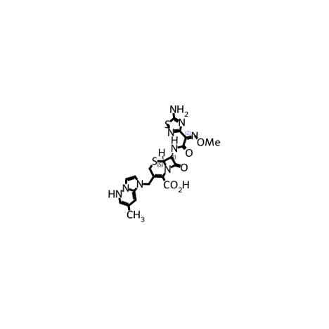 CO/N=C(\C(=O)N[C@@H]1C(=O)N2C(C(=O)O)=C(CN3C=CN4NC=C(C)C=C34)CS[C@@H]12)c1nsc(N)n1